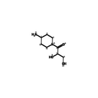 NC1CCN(C(=O)C(O)CO)CC1